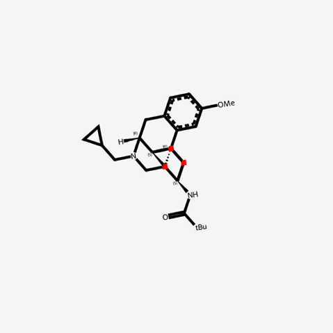 COc1ccc2c(c1)[C@]13CCN(CC4CC4)[C@H](C2)[C@]12CC[C@@](NC(=O)C(C)(C)C)(CO2)C3